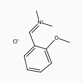 COc1ccccc1C=[N+](C)C.[Cl-]